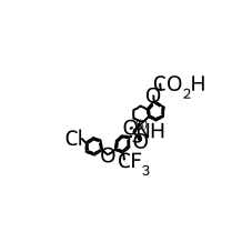 O=C(O)COc1cccc2c1CCC[C@H]2NS(=O)(=O)c1ccc(Oc2ccc(Cl)cc2)c(C(F)(F)F)c1